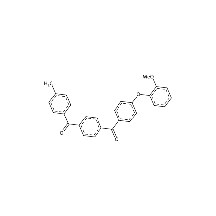 COc1ccccc1Oc1ccc(C(=O)c2ccc(C(=O)c3ccc(C)cc3)cc2)cc1